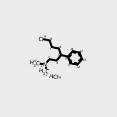 CN(C)CCC(CCCCl)c1ccccc1.Cl